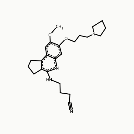 COc1cc2c3c(c(NCCCC#N)nc2cc1OCCCN1CCCC1)CCC3